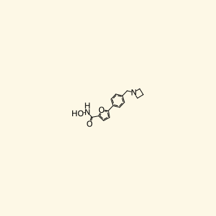 O=C(NO)c1ccc(-c2ccc(CN3CCC3)cc2)o1